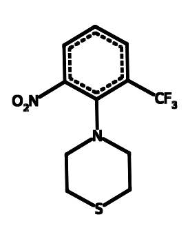 O=[N+]([O-])c1cccc(C(F)(F)F)c1N1CCSCC1